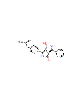 CCCCC(CC)Cc1ccc(C2=C3C(=O)NC(c4ccccc4)=C3C(=O)N2)cc1